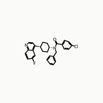 O=C(c1ccc(Cl)cc1)N(Cc1ccccc1)[C@H]1CC[C@H](c2ccnc3ccc(F)cc32)CC1